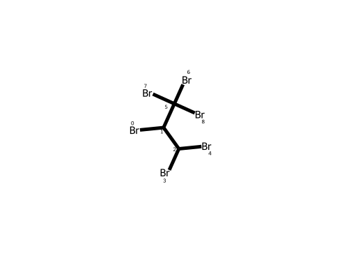 Br[C](C(Br)Br)C(Br)(Br)Br